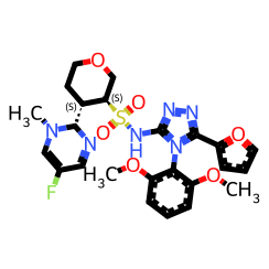 COc1cccc(OC)c1-n1c(NS(=O)(=O)[C@@H]2COCC[C@H]2C2N=CC(F)=CN2C)nnc1-c1ccco1